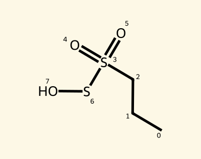 CCCS(=O)(=O)SO